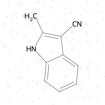 [CH2]c1[nH]c2ccccc2c1C#N